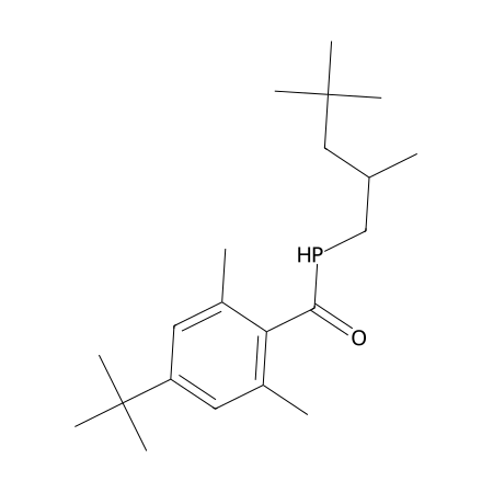 Cc1cc(C(C)(C)C)cc(C)c1C(=O)PCC(C)CC(C)(C)C